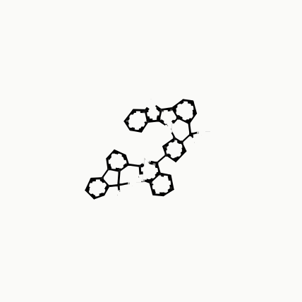 CC1(C)c2ccccc2-c2cccc(-c3nc(-c4ccc5c(c4)-n4c6c(cccc6c6oc7ccccc7c64)C5(C)C)c4ccccc4n3)c21